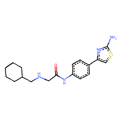 Nc1nc(-c2ccc(NC(=O)CNCC3CCCCC3)cc2)cs1